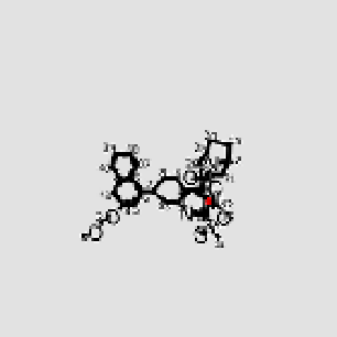 COCOc1cc(C2CCc3c(nc(S(C)(=O)=O)nc3N3CC4CCC(C3)N4C(=O)OC(C)(C)C)C2)c2ccccc2c1